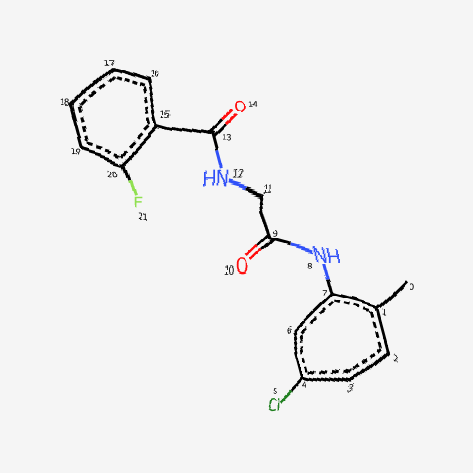 Cc1ccc(Cl)cc1NC(=O)CNC(=O)c1ccccc1F